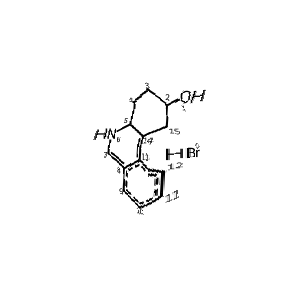 Br.OC1CCC2NC=c3ccccc3=C2C1